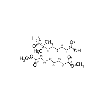 CC(C)(CCCCCC(=O)O)C(N)=O.COC(=O)CCCCCCC(=O)OC